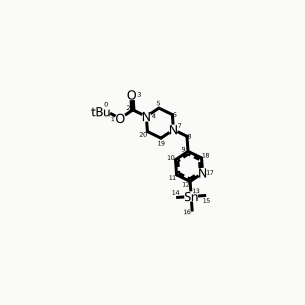 CC(C)(C)OC(=O)N1CCN(Cc2cc[c]([Sn]([CH3])([CH3])[CH3])nc2)CC1